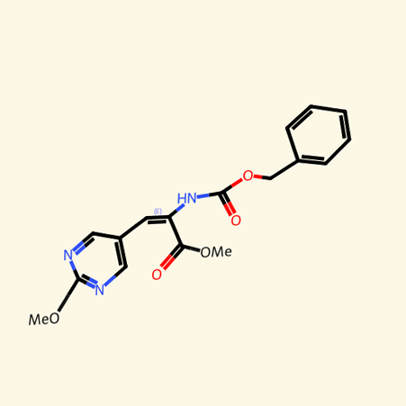 COC(=O)/C(=C\c1cnc(OC)nc1)NC(=O)OCc1ccccc1